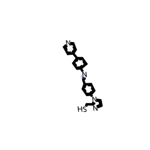 SCc1nccn1-c1ccc(/C=N/c2ccc(-c3ccncc3)cc2)cc1